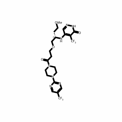 COCC[C@@H](COCCC(=O)N1CCN(c2ncc(C(F)(F)F)cn2)CC1)Nc1cn[nH]c(=O)c1C(F)(F)F